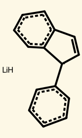 C1=Cc2ccccc2[C]1c1ccccc1.[LiH]